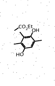 CCOC(C)=O.Cc1cc(O)c(C)c(C)c1O